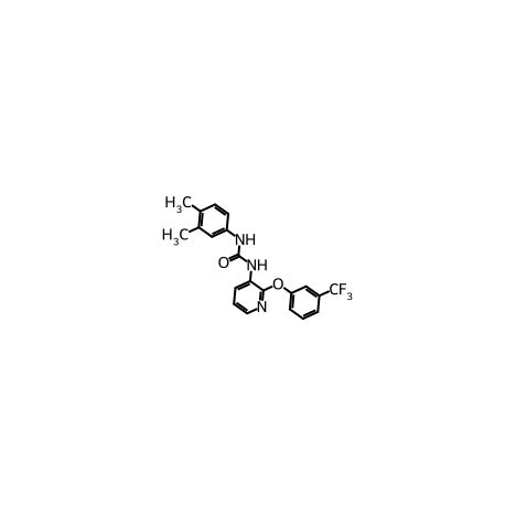 Cc1ccc(NC(=O)Nc2cccnc2Oc2cccc(C(F)(F)F)c2)cc1C